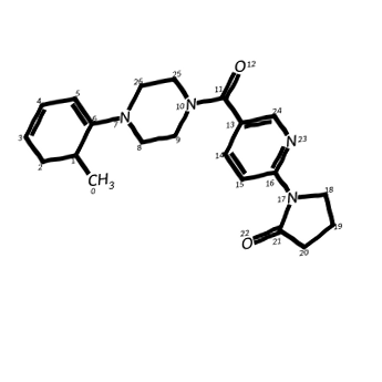 CC1CC=CC=C1N1CCN(C(=O)c2ccc(N3CCCC3=O)nc2)CC1